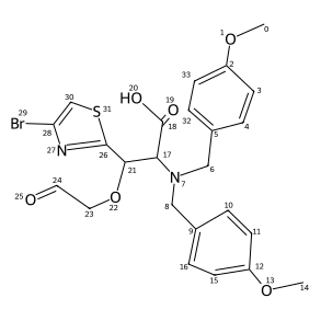 COc1ccc(CN(Cc2ccc(OC)cc2)C(C(=O)O)C(OCC=O)c2nc(Br)cs2)cc1